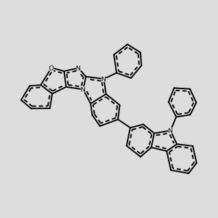 c1ccc(-n2c3ccccc3c3ccc(-c4ccc5c(c4)n(-c4ccccc4)c4nc6oc7ccccc7c6n54)cc32)cc1